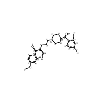 COc1ccc2c(=O)c(CCCN3CCC(C(=O)c4ccc(F)cc4F)CC3)coc2c1